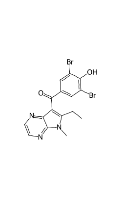 CCc1c(C(=O)c2cc(Br)c(O)c(Br)c2)c2nccnc2n1C